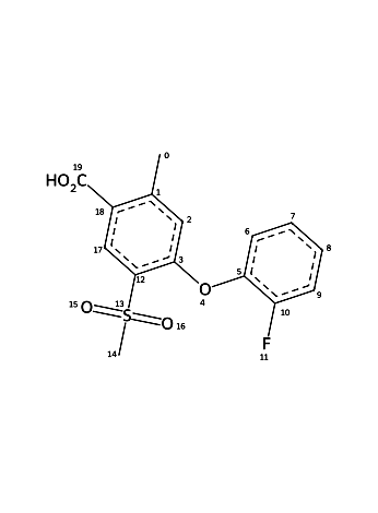 Cc1cc(Oc2ccccc2F)c(S(C)(=O)=O)cc1C(=O)O